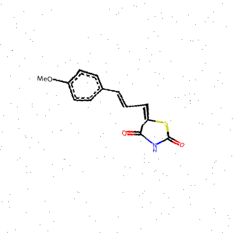 COc1ccc(C=CC=C2SC(=O)NC2=O)cc1